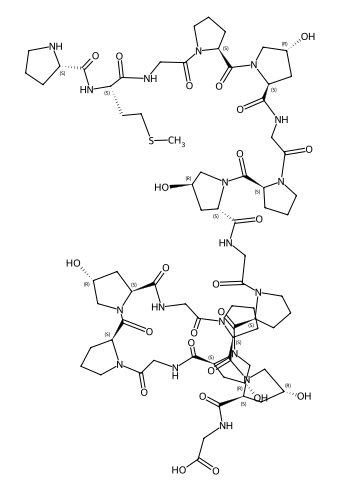 CSCC[C@H](NC(=O)[C@@H]1CCCN1)C(=O)NCC(=O)N1CCC[C@H]1C(=O)N1C[C@H](O)C[C@H]1C(=O)NCC(=O)N1CCC[C@H]1C(=O)N1C[C@H](O)C[C@H]1C(=O)NCC(=O)N1CCC[C@H]1C(=O)N1C[C@H](O)C[C@H]1C(=O)NCC(=O)N1CCC[C@H]1C(=O)N1C[C@H](O)C[C@H]1C(=O)NCC(=O)N1CCC[C@H]1C(=O)N1C[C@H](O)C[C@H]1C(=O)NCC(=O)O